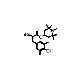 CCCCC(Cc1cc(C)c(O)c(C)c1)C(=O)OC1CC(C)(C)N(C)C(C)(C)C1